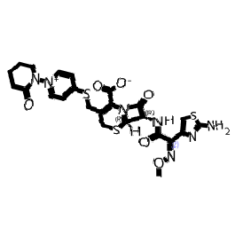 CO/N=C(\C(=O)N[C@@H]1C(=O)N2C(C(=O)[O-])=C(CSc3cc[n+](N4CCCCC4=O)cc3)CS[C@H]12)c1csc(N)n1